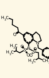 CCCCC(=O)c1cc2c(c(N(S(=O)(=O)CC(C)C)S(=O)(=O)CC(C)C)c1)N(Cc1ccccc1)CCC2